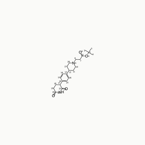 CC(C)(C)OC(=O)CCN1CCC(c2ccc(C3CCC(=O)NC3=O)cc2)CC1